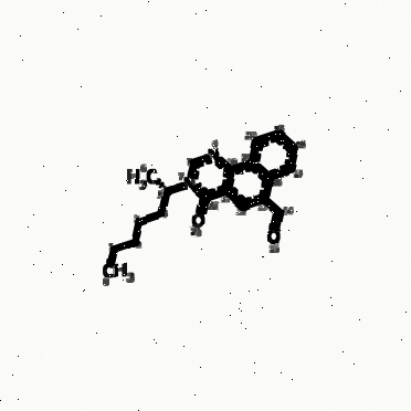 CCCCC[C@H](C)n1cnc2c(cc(C=O)c3ccccc32)c1=O